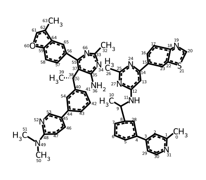 Cc1cc(-c2cccc(C(C)Nc3cc(-c4ccc5ncsc5c4)nc(C)n3)c2)ccn1.Cc1nc(N)c([C@@H](C)c2cccc(-c3ccc(N(C)C)nc3)c2)c(-c2ccc3occ(C)c3c2)n1